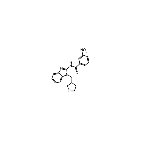 O=C(Nc1nc2ccccc2n1CC1CCOC1)c1cccc([N+](=O)[O-])c1